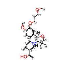 C=C(O)C1=CN2C(=CC1=C)c1cc(OC)c(OCCCOC)cc1[C@H]1OCC(C)(C)[C@H]12